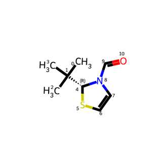 CC(C)(C)[C@H]1SC=CN1C=O